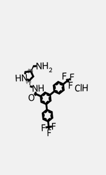 Cl.NC[C@@H]1CN[C@@H](CNC(=O)c2cc(-c3ccc(C(F)(F)F)cc3)cc(-c3ccc(C(F)(F)F)cc3)c2)C1